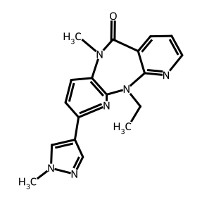 CCN1c2ncccc2C(=O)N(C)c2ccc(-c3cnn(C)c3)nc21